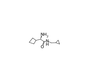 N[C@@H](C(=O)NCC1CC1)C1CCC1